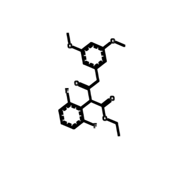 CCOC(=O)C(C(=O)Cc1cc(OC)cc(OC)c1)c1c(F)cccc1F